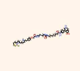 C/N=C(/C=C\C(C)=C\c1ccc(-c2cccs2)n1B(F)F)\C=C\c1ccc(OCC(=O)NCCCCCC(=O)NCCCCCCCC(=O)Nc2ccc(C3CNCCc4ccc(O)cc43)cc2)cc1